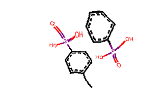 Cc1ccc(P(=O)(O)O)cc1.O=P(O)(O)c1ccccc1